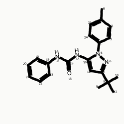 Cc1ccc(-n2nc(C(C)(C)C)cc2NC(=O)Nc2ccccc2)cc1